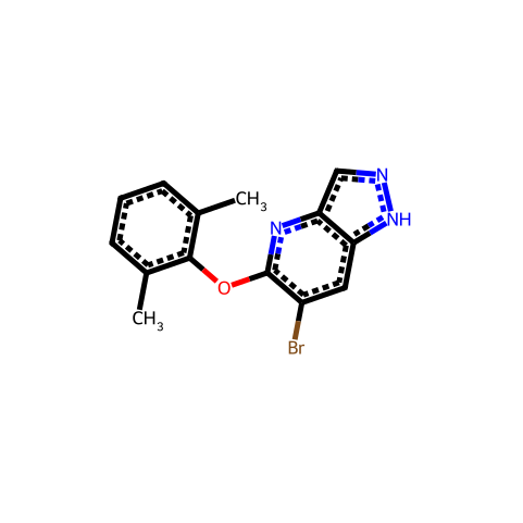 Cc1cccc(C)c1Oc1nc2cn[nH]c2cc1Br